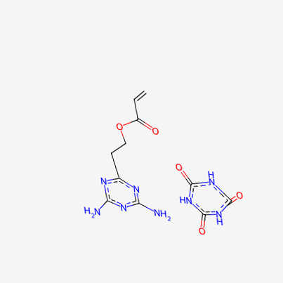 C=CC(=O)OCCc1nc(N)nc(N)n1.O=c1[nH]c(=O)[nH]c(=O)[nH]1